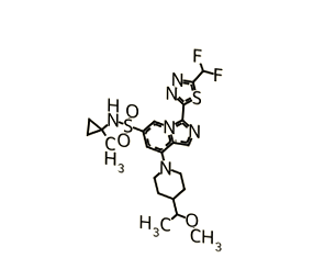 COC(C)C1CCN(c2cc(S(=O)(=O)NC3(C)CC3)cn3c(-c4nnc(C(F)F)s4)ncc23)CC1